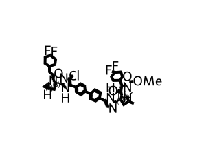 COC(=O)N[C@H](C(=O)N1[C@H](C)C(C)C[C@H]1c1ncc(-c2ccc(-c3ccc(-c4[nH]c([C@@H]5C[C@H]6CC6N5C(=O)CC5CCC(F)(F)CC5)nc4Cl)cc3)cc2)[nH]1)C1CCC(F)(F)CC1